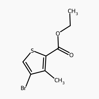 CCOC(=O)c1scc(Br)c1C